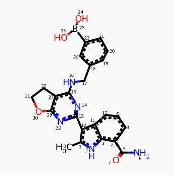 Cc1[nH]c2c(C(N)=O)cccc2c1-c1nc(NCc2cccc(B(O)O)c2)c2c(n1)OCC2